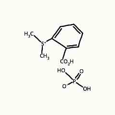 C[S+](C)c1ccccc1C(=O)O.O=P([O-])(O)O